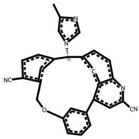 Cc1cn([C@H]2c3ccc(C#N)c(c3)COc3cccc(c3)-c3cc(C#N)nc4ccc2cc34)cn1